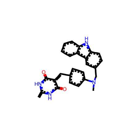 C=c1[nH]c(=O)c(=Cc2ccc(N(C)Cc3ccc4[nH]c5ccccc5c4c3)cc2)c(=O)[nH]1